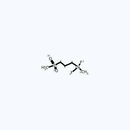 C[Si](F)(F)CCCS(C)(=O)=O